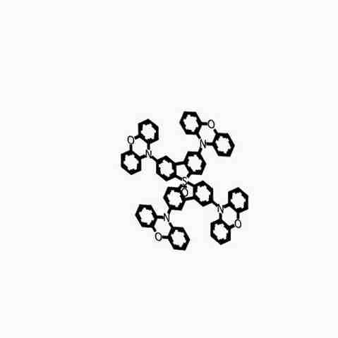 O=S12(c3ccc(N4c5ccccc5Oc5ccccc54)cc3-c3cc(N4c5ccccc5Oc5ccccc54)ccc31)c1ccc(N3c4ccccc4Oc4ccccc43)cc1-c1cc(N3c4ccccc4Oc4ccccc43)ccc12